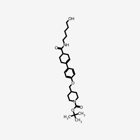 CC(C)(C)OC(=O)N1CCC(COc2ccc(C3=CCC(C(=O)NCCCCCO)CC3)cc2)CC1